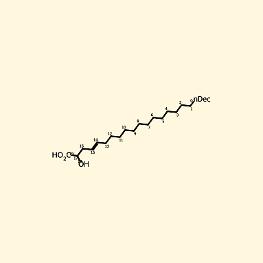 CCCCCCCCCCCCCCCCCCCCCCCC=CCC(O)C(=O)O